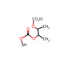 [CH2]C(OC(=O)OCCC)C(C)OC(=O)OCC